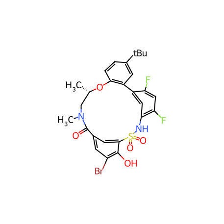 C[C@H]1CN(C)C(=O)c2cc(Br)c(O)c(c2)S(=O)(=O)Nc2cc(c(F)cc2F)-c2cc(C(C)(C)C)ccc2O1